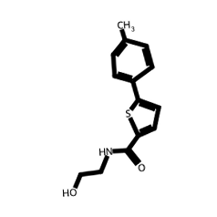 Cc1ccc(-c2ccc(C(=O)NCCO)s2)cc1